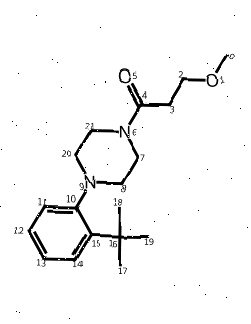 COCCC(=O)N1CCN(c2ccccc2C(C)(C)C)CC1